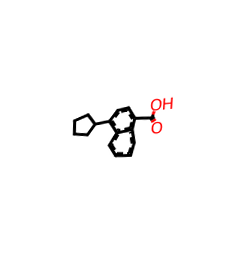 O=C(O)c1ccc(C2CCCC2)c2ccccc12